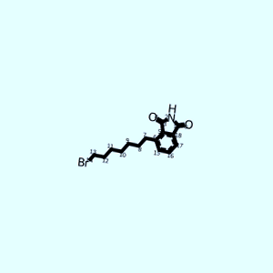 O=C1NC(=O)c2c(CCCCCCCBr)cccc21